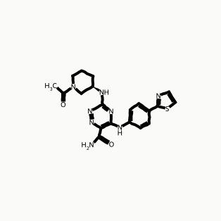 CC(=O)N1CCC[C@@H](Nc2nnc(C(N)=O)c(Nc3ccc(-c4nccs4)cc3)n2)C1